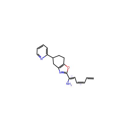 C=C/C=C\C=C(/N)c1nc2c(o1)CCC(c1ccccn1)C2